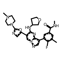 CNC(=O)c1cc(C)c(F)c(-c2cnn3cc(-c4cnc(N5CCN(C)CC5)o4)c(NC4CCOC4)nc23)c1